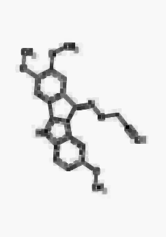 C#CCON=C1c2cc(OC)c(OC)cc2-c2[nH]c3ccc(OC)cc3c21